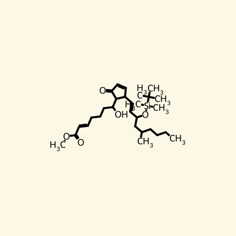 CCCCC(C)CC(C=CC1C=CC(=O)C1C(O)CCCC=CC(=O)OC)O[Si](C)(C)C(C)(C)C